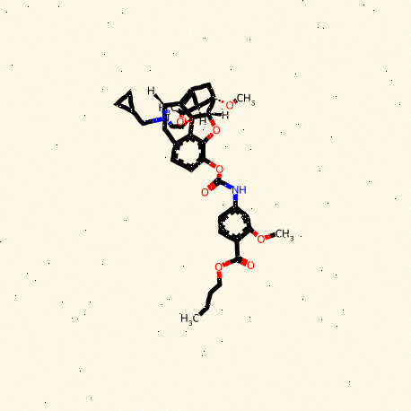 CCCCOC(=O)c1ccc(NC(=O)Oc2ccc3c4c2O[C@H]2[C@]5(OC)CC(=C6[C@@H](C3)N(CC3CC3)CC[C@]642)[C@@H]5C(C)O)cc1OC